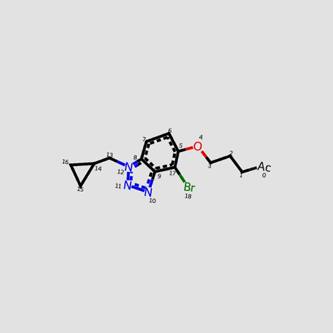 CC(=O)CCCOc1ccc2c(nnn2CC2CC2)c1Br